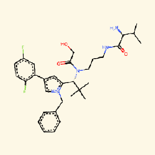 CC(C)[C@H](N)C(=O)NCCCN(C(=O)CO)[C@@H](c1cc(-c2cc(F)ccc2F)cn1Cc1ccccc1)C(C)(C)C